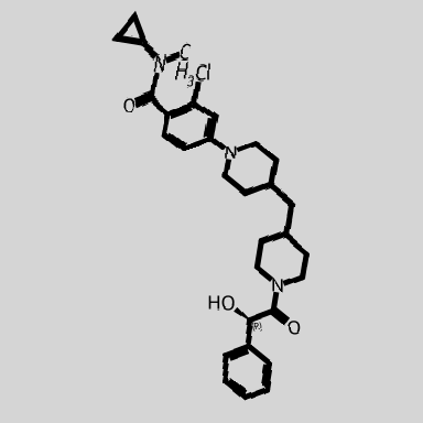 CN(C(=O)c1ccc(N2CCC(CC3CCN(C(=O)[C@H](O)c4ccccc4)CC3)CC2)cc1Cl)C1CC1